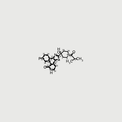 CC(C)C(=O)N1CCC(O)(c2nc3c4ccc(F)cc4c4c(=O)[nH]ccc4c3s2)CC1